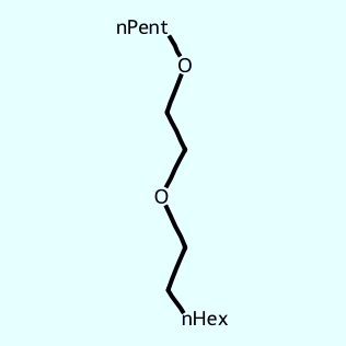 CCCCCCCCOCCOCCCCC